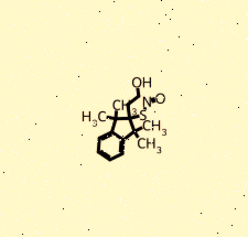 CC1(C)c2ccccc2C(C)(C)C1(CCO)SN=O